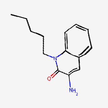 CCCCCn1c(=O)c(N)cc2ccccc21